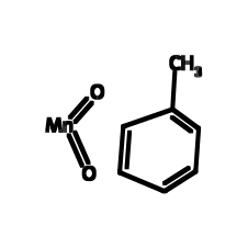 Cc1ccccc1.[O]=[Mn]=[O]